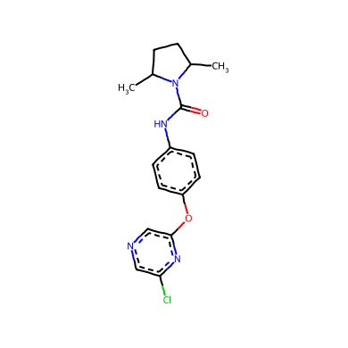 CC1CCC(C)N1C(=O)Nc1ccc(Oc2cncc(Cl)n2)cc1